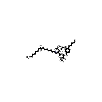 CCCCCCCC(F)(F)CCCCCC/C=C/[C@H](C(=O)N[C@@H](Cc1ccc(OCCCF)cc1)C(=O)OC)[C@@H](CCC)C(=O)O